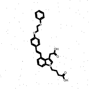 O=C(O)CCCn1cc(CC(=O)O)c2c(/C=C/c3ccc(OCCSc4ccccc4)cc3)cccc21